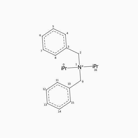 CC(C)[N+](Cc1ccccc1)(Cc1ccccc1)C(C)C